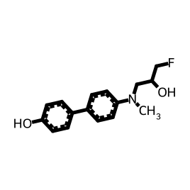 CN(CC(O)CF)c1ccc(-c2ccc(O)cc2)cc1